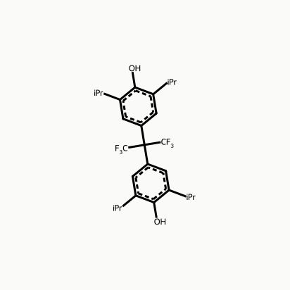 CC(C)c1cc(C(c2cc(C(C)C)c(O)c(C(C)C)c2)(C(F)(F)F)C(F)(F)F)cc(C(C)C)c1O